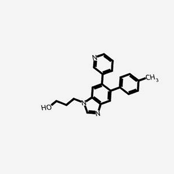 Cc1ccc(-c2cc3ncn(CCCO)c3cc2-c2cccnc2)cc1